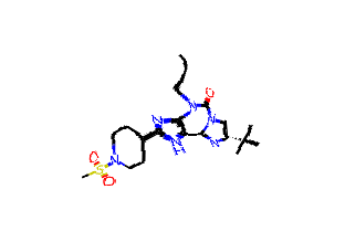 CCCN1C(=O)N2C[C@H](C(C)(C)C)N=C2c2[nH]c(C3CCN(S(C)(=O)=O)CC3)nc21